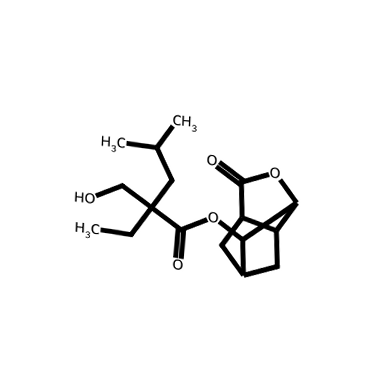 CCC(CO)(CC(C)C)C(=O)OC1C2CC3C(=O)OC1C3C2